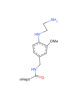 CCCCCCCC(=O)NCc1ccc(NCCN)c(OC)c1